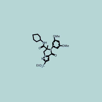 CCOC(=O)c1cc2n(n1)CC(C)(C(=O)NC1CCCCC1)N(c1cc(OC)cc(OC)c1)C2=O